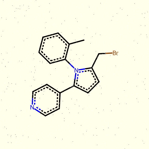 Cc1ccccc1-n1c(CBr)ccc1-c1ccncc1